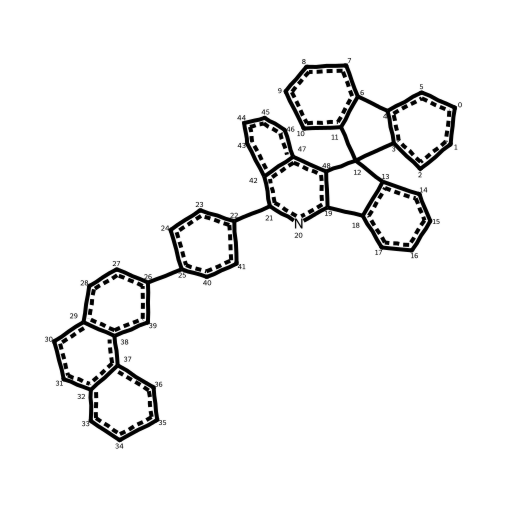 c1ccc2c(c1)-c1ccccc1C21c2ccccc2-c2nc(-c3ccc(-c4ccc5ccc6ccccc6c5c4)cc3)c3ccccc3c21